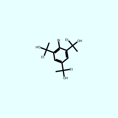 CCC(C)(O)c1cc(C(C)(O)CC)c(Br)c(C(C)(O)CC)c1